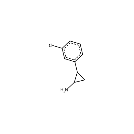 NC1CC1c1cccc(Cl)c1